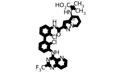 CC(C)(N[C@H]1CCCn2nc(C(=O)Nc3cccc(-c4cccc(Nc5nc(C(F)(F)F)nc6cccnc56)c4Cl)c3Cl)cc21)C(=O)O